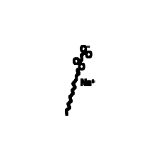 CCCCCCCCCCCCC=COC(=O)CCC(=O)[O-].[Na+]